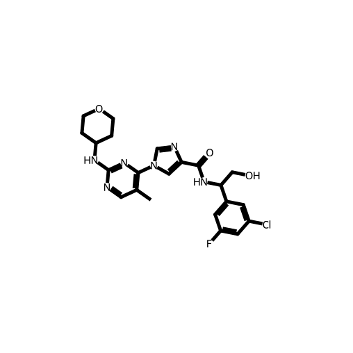 Cc1cnc(NC2CCOCC2)nc1-n1cnc(C(=O)NC(CO)c2cc(F)cc(Cl)c2)c1